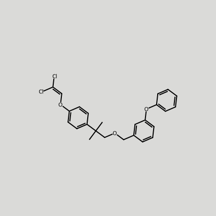 CC(C)(COCc1cccc(Oc2ccccc2)c1)c1ccc(OC=C(Cl)Cl)cc1